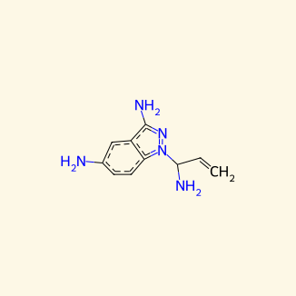 C=CC(N)n1nc(N)c2cc(N)ccc21